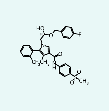 Cc1c(C(=O)Nc2ccc(S(C)(=O)=O)cc2)cn(C[C@@H](O)OCc2ccc(F)cc2)c1-c1ccccc1C(F)(F)F